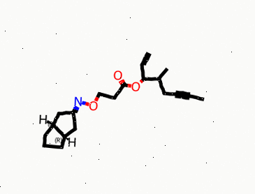 C=CC(OC(=O)CCON=C1C[C@H]2CCC[C@@H]2C1)C(C)CC#CC